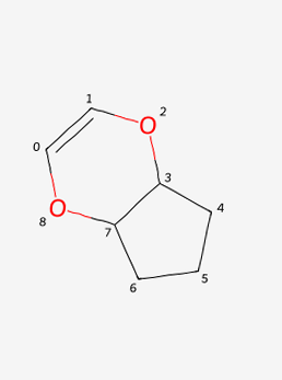 C1=COC2CCCC2O1